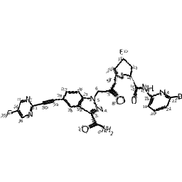 NC(=O)c1nn(CC(=O)N2C[C@H](F)C[C@H]2C(=O)Nc2cccc(Br)n2)c2ccc(C#Cc3ncc(F)cn3)cc12